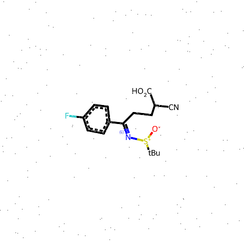 CC(C)(C)[S+]([O-])/N=C(\CCC(C#N)C(=O)O)c1ccc(F)cc1